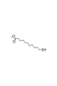 COC(=O)CCCCCCCCCCS